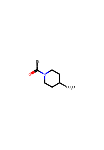 CCOC(=O)C1CCN(C(=O)CC)CC1